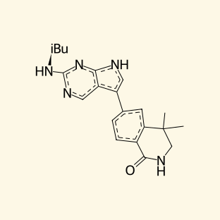 CC[C@H](C)Nc1ncc2c(-c3ccc4c(c3)C(C)(C)CNC4=O)c[nH]c2n1